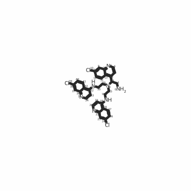 NCC(c1ccnc2cc(Cl)ccc12)N(CCNc1ccnc2cc(Cl)ccc12)CCNc1ccnc2cc(Cl)ccc12